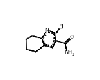 NC(=O)c1cc2c(nc1Cl)CCC[CH]2